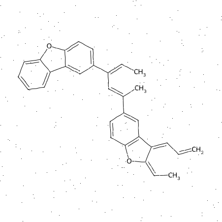 C=C/C=c1\c(=C/C)oc2ccc(/C(C)=C/C(=C\C)c3ccc4oc5ccccc5c4c3)cc12